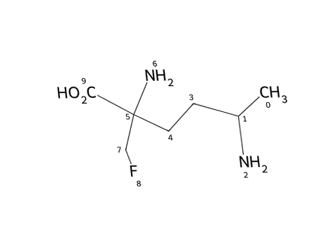 CC(N)CCC(N)(CF)C(=O)O